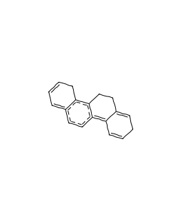 C1=CCc2c3c(ccc2=C1)=C1C=CCC=C1CC3